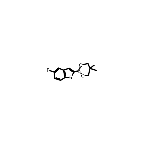 CC1(C)COB(c2cc3cc(F)ccc3s2)OC1